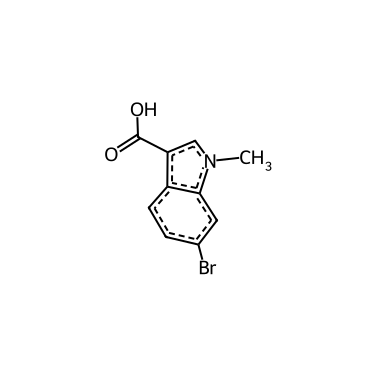 Cn1cc(C(=O)O)c2ccc(Br)cc21